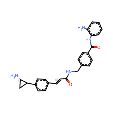 Nc1ccccc1NC(=O)c1ccc(CNC(=O)/C=C/c2ccc(C3C[C@@H]3N)cc2)cc1